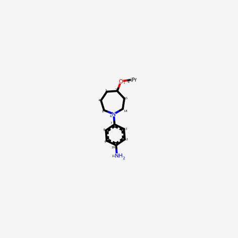 CC(C)OC1CCCN(c2ccc(N)cc2)CC1